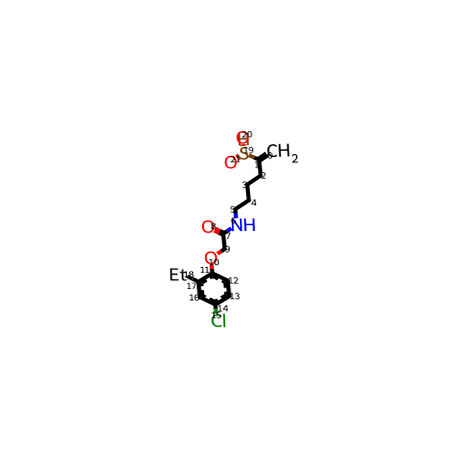 C=C(CCCCNC(=O)COc1ccc(Cl)cc1CC)[SH](=O)=O